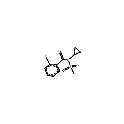 CS(=O)(=O)N(C(=O)c1ccccc1F)C1CC1